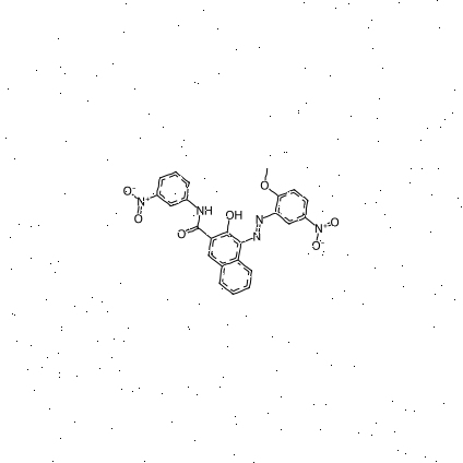 COc1ccc([N+](=O)[O-])cc1N=Nc1c(O)c(C(=O)Nc2cccc([N+](=O)[O-])c2)cc2ccccc12